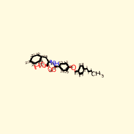 CCCCc1ccc(COc2ccc(C(=O)NC(CC3CCCCC3)C(=O)O)cc2)cc1